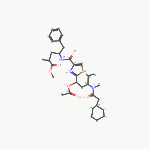 COC(=O)C(C)CC(Cc1ccccc1)NC(=O)c1csc(C(CC(C(C)C)N(C)C(=O)CC2CCCCC2)OC(C)=O)n1